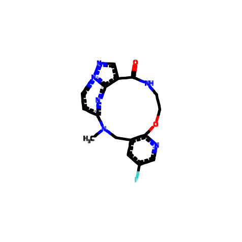 CN1Cc2cc(F)cnc2OCCNC(=O)c2cnn3ccc1nc23